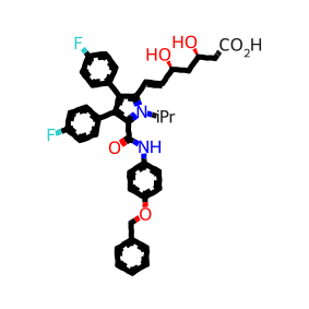 CC(C)n1c(/C=C/[C@@H](O)C[C@@H](O)CC(=O)O)c(-c2ccc(F)cc2)c(-c2ccc(F)cc2)c1C(=O)Nc1ccc(OCc2ccccc2)cc1